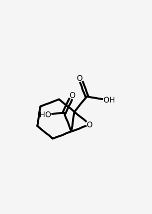 O=C(O)C12CCCCC1(C(=O)O)O2